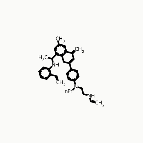 C=CNCCN(CCC)c1ccc(C2=CC(=C)c3cc(C)cc(C(C)Nc4ccccc4C=C)c3C2)cc1